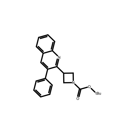 CC(C)(C)OC(=O)N1CC(c2nc3ccccc3cc2-c2ccccc2)C1